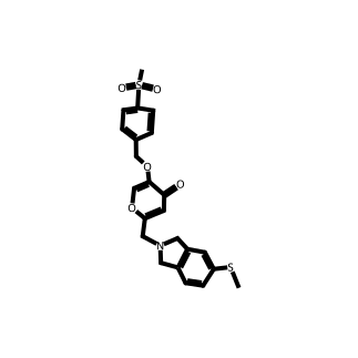 CSc1ccc2c(c1)CN(Cc1cc(=O)c(OCc3ccc(S(C)(=O)=O)cc3)co1)C2